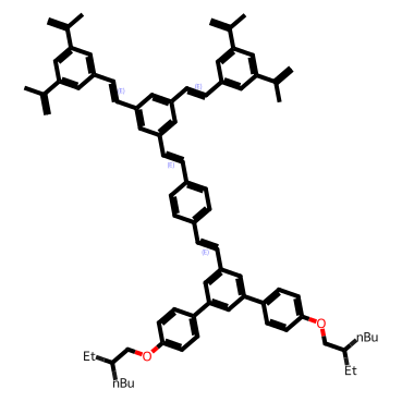 C=C(C)c1cc(/C=C/c2cc(/C=C/c3ccc(/C=C/c4cc(-c5ccc(OCC(CC)CCCC)cc5)cc(-c5ccc(OCC(CC)CCCC)cc5)c4)cc3)cc(/C=C/c3cc(C(=C)C)cc(C(=C)C)c3)c2)cc(C(=C)C)c1